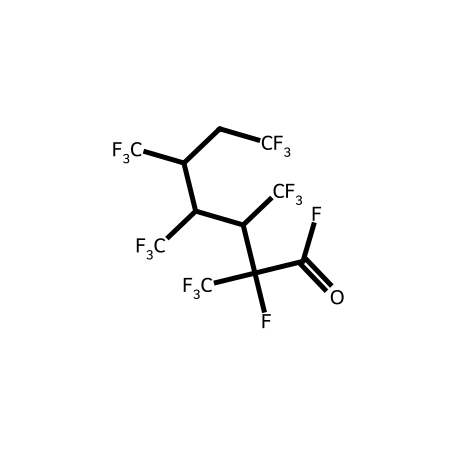 O=C(F)C(F)(C(C(C(CC(F)(F)F)C(F)(F)F)C(F)(F)F)C(F)(F)F)C(F)(F)F